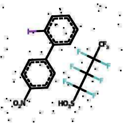 O=S(=O)(O)C(F)(F)C(F)(F)C(F)(F)C(F)(F)F.O=[N+]([O-])c1ccc(-c2ccccc2I)cc1